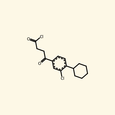 O=C(Cl)CCC(=O)c1ccc(C2CCCCC2)c(Cl)c1